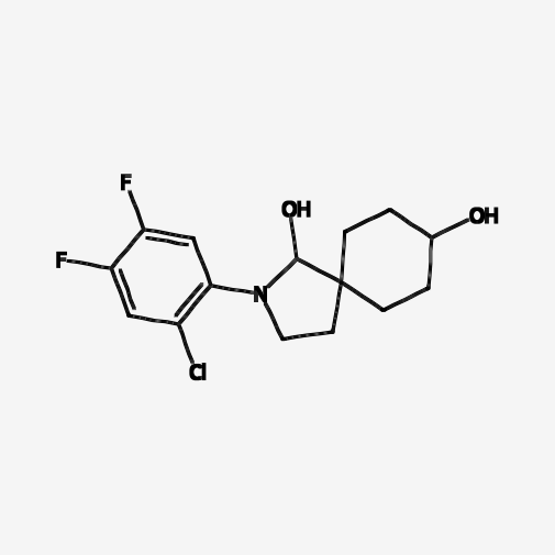 OC1CCC2(CC1)CCN(c1cc(F)c(F)cc1Cl)C2O